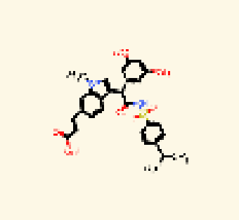 CC(C)c1ccc(S(=O)(=O)NC(=O)C(c2cc(O)cc(O)c2)c2cn(C)c3cc(/C=C/C(=O)O)ccc23)cc1